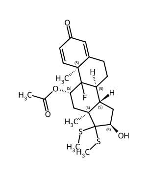 CSC1(SC)[C@H](O)C[C@H]2[C@@H]3CCC4=CC(=O)C=C[C@]4(C)C3(F)[C@@H](OC(C)=O)C[C@@]21C